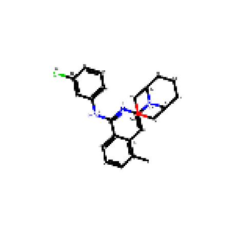 Cc1cccc2c(Nc3cccc(Cl)c3)nc(N3C4CCCC3COC4)[c]c12